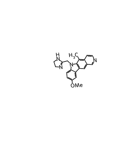 COc1ccc2c(c1)c1cc3cnccc3c(C)c1n2CC1=NCCN1